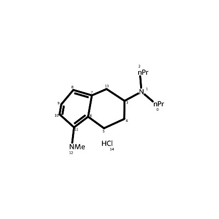 CCCN(CCC)C1CCc2c(cccc2NC)C1.Cl